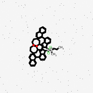 CCC[SiH](C)[Zr]([Cl])([Cl])([CH]1C(CC2CCCCCC2)=Cc2c(-c3cccc4ccccc34)cccc21)[CH]1C(CC2CCCCCC2)=Cc2c(-c3cccc4ccccc34)cccc21